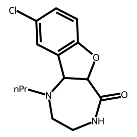 CCCN1CCNC(=O)C2Oc3ccc(Cl)cc3C21